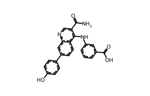 NC(=O)c1cnc2cc(-c3ccc(O)cc3)ccc2c1Nc1cccc(C(=O)O)c1